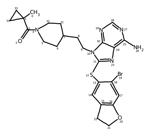 CC1(C(=O)N2CCC(CCn3c(Sc4cc5c(cc4Br)OCC5)nc4c(N)ncnc43)CC2)CC1